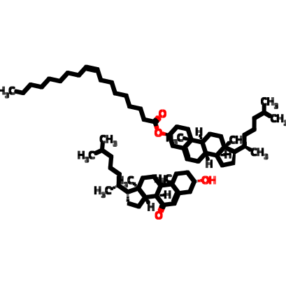 CC(C)CCC[C@@H](C)[C@H]1CC[C@H]2[C@@H]3C(=O)C=C4C[C@@H](O)CC[C@]4(C)[C@H]3CC[C@]12C.CCCCCCCC/C=C\CCCCCCCC(=O)O[C@H]1CC[C@@]2(C)C(=CC[C@H]3[C@@H]4CC[C@H]([C@H](C)CCCC(C)C)[C@@]4(C)CC[C@@H]32)C1